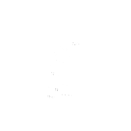 CC1CN(Cc2ccc([N+](=O)[O-])cc2)CC(C)[N+]1(C(=O)[O-])C(C)(C)C